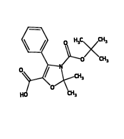 CC(C)(C)OC(=O)N1C(c2ccccc2)=C(C(=O)O)OC1(C)C